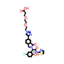 O=C(O)CCOCCOCCn1cc(-c2ccc3c(c2)C(=O)N(C(C(=O)Nc2nccs2)c2cc(F)ccc2O)C3)nn1